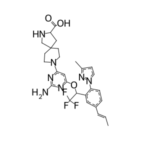 C/C=C/c1ccc(-n2ccc(C)n2)c(C(Oc2cc(N3CCC4(CC3)CNC(C(=O)O)C4)nc(N)n2)C(F)(F)F)c1